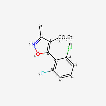 CCOC(=O)c1c(C)noc1-c1c(F)cccc1Cl